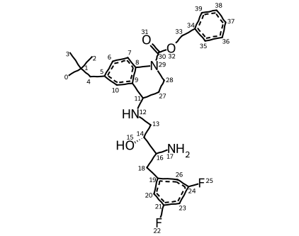 CC(C)(C)Cc1ccc2c(c1)C(NC[C@@H](O)C(N)Cc1cc(F)cc(F)c1)CCN2C(=O)OCc1ccccc1